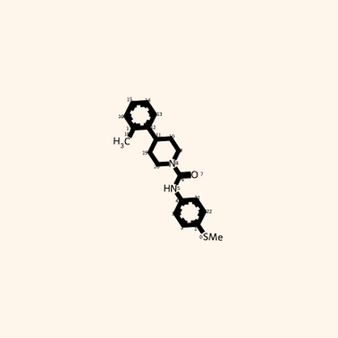 CSc1ccc(NC(=O)N2CCC(c3ccccc3C)CC2)cc1